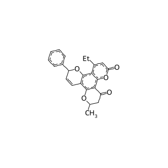 CCc1cc(=O)oc2c3c(c4c(c12)OC(c1ccccc1)C=C4)OC(C)CC3=O